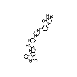 CN(C)C(=O)c1cc2cnc(Nc3ccc(N4CCN(Cc5cccc(N6CCC(=O)NC6=O)c5)CC4)cn3)nc2n1C1CCCC1